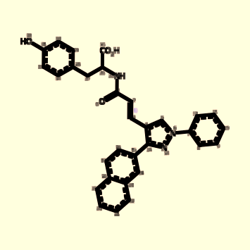 O=C(/C=C/c1cn(-c2ccccc2)nc1-c1ccc2ccccc2c1)NC(Cc1ccc(O)cc1)C(=O)O